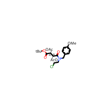 COc1ccc(CN(CCCl)C(=O)[C@H](OC(C)=O)[C@@H](OC(C)=O)C(=O)OC(C)(C)C)cc1